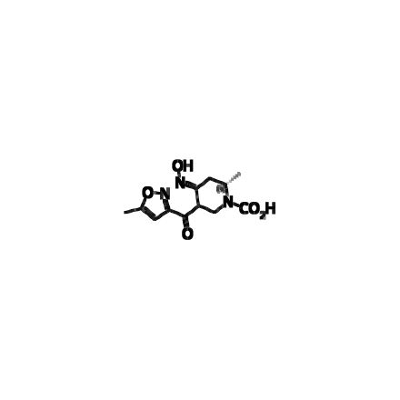 Cc1cc(C(=O)C2CN(C(=O)O)[C@@H](C)CC2=NO)no1